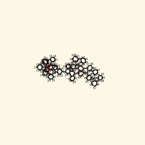 c1ccc([Si](c2ccccc2)(c2ccccc2)c2cccc(-c3ccccc3N(c3ccc(-c4cc5c6ccccc6c(-c6ccc(N(c7cccc([Si](c8ccccc8)(c8ccccc8)c8ccccc8)c7)c7ccccc7-c7cccc([Si](c8ccccc8)(c8ccccc8)c8ccccc8)c7)cc6)cc5c5ccccc45)cc3)c3cccc([Si](c4ccccc4)(c4ccccc4)c4ccccc4)c3)c2)cc1